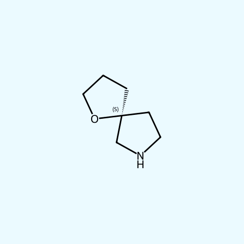 C1CO[C@@]2(C1)CCNC2